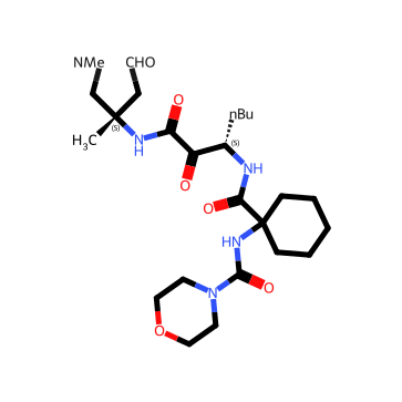 CCCC[C@H](NC(=O)C1(NC(=O)N2CCOCC2)CCCCC1)C(=O)C(=O)N[C@@](C)(CC=O)CNC